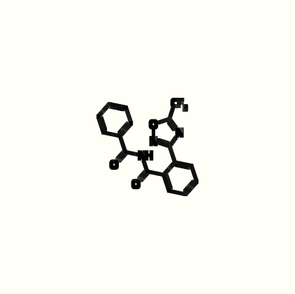 O=C(NC(=O)c1ccccc1-c1noc(C(F)(F)F)n1)c1ccccc1